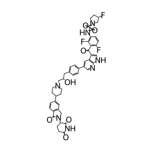 O=C1CCC(N2Cc3cc(C4CCN(C[C@H](O)Cc5ccc(-c6cnc7[nH]cc(C(=O)c8c(F)ccc(NS(=O)(=O)N9CC[C@@H](F)C9)c8F)c7c6)cc5)CC4)ccc3C2=O)C(=O)N1